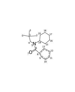 CC(C)(C)CN(C(=O)c1ccccc1)C1CCCCC1